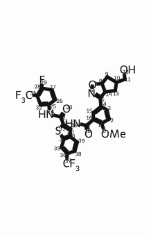 COc1ccc(C2=NOC3CC(CO)CC23)cc1C(=O)Nc1c(C(=O)Nc2ccc(F)c(C(F)(F)F)c2)sc2cc(C(F)(F)F)ccc12